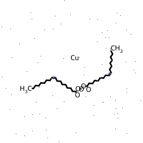 CCCCCCCC/C=C\CCCCCCCC(=O)OOOC(=O)CCCCCCC/C=C\CCCCCCCC.[Cu]